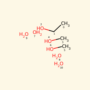 CCO.CO.CO.O.O.O.O